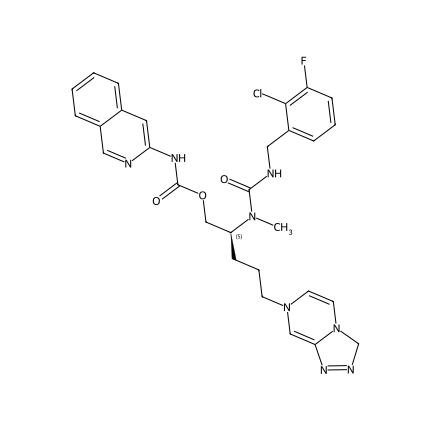 CN(C(=O)NCc1cccc(F)c1Cl)[C@@H](CCCN1C=CN2CN=NC2=C1)COC(=O)Nc1cc2ccccc2cn1